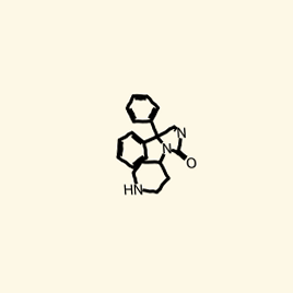 O=C1N=CC(c2ccccc2)(c2ccccc2)N1C1CCNCC1